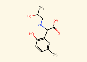 Cc1ccc(O)c(C(NCC(C)O)C(=O)O)c1